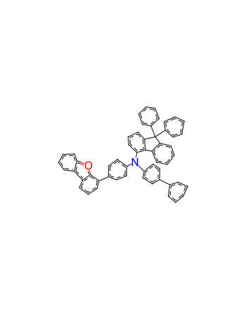 c1ccc(-c2ccc(N(c3ccc(-c4cccc5c4oc4ccccc45)cc3)c3cccc4c3-c3ccccc3C4(c3ccccc3)c3ccccc3)cc2)cc1